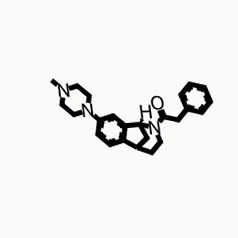 CN1CCN(c2ccc3c(c2)[C@H]2CC3CCN2C(=O)Cc2ccccc2)CC1